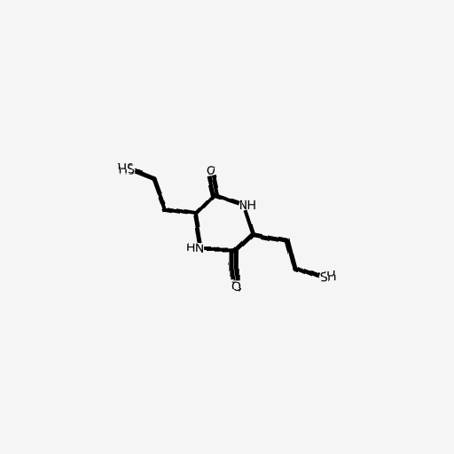 O=C1NC(CCS)C(=O)NC1CCS